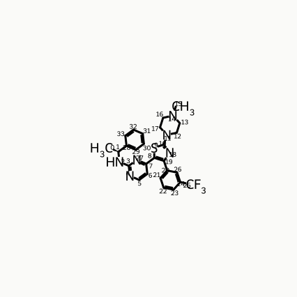 C[C@H](Nc1nccc(-c2sc(N3CCN(C)CC3)nc2-c2cccc(C(F)(F)F)c2)n1)c1ccccc1